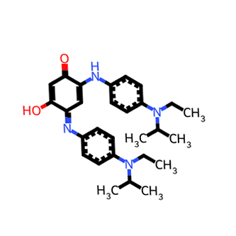 CCN(c1ccc(N=C2C=C(Nc3ccc(N(CC)C(C)C)cc3)C(=O)C=C2O)cc1)C(C)C